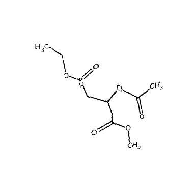 CCO[PH](=O)CC(OC(C)=O)C(=O)OC